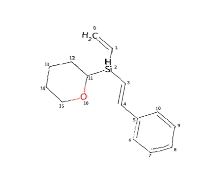 C=C[SiH](C=Cc1ccccc1)C1CCCCO1